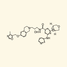 Cc1ncoc1COc1ccc2c(c1)CCN(C[C@@H](O)CNC(=O)c1cc(Nc3cccnc3)nc(N3[C@@H]4CC[C@H]3COC4)c1)C2